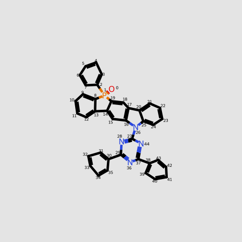 O=P1(c2ccccc2)c2ccccc2-c2cc3c(cc21)c1ccccc1n3-c1nc(-c2ccccc2)nc(-c2ccccc2)n1